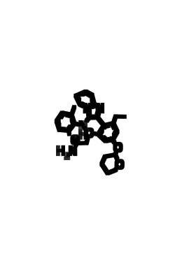 CCc1cc(OC2CCCCO2)cc(OCC(N)=O)c1-c1nc2ccccn2c1Nc1c(C)cccc1C